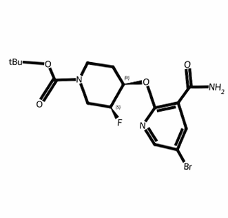 CC(C)(C)OC(=O)N1CC[C@@H](Oc2ncc(Br)cc2C(N)=O)[C@@H](F)C1